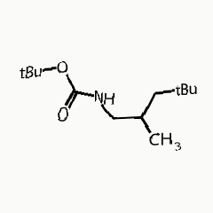 CC(CNC(=O)OC(C)(C)C)CC(C)(C)C